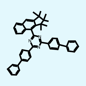 CC1(C)c2cc3ccccc3c(-c3nc(-c4ccc(-c5ccccc5)cc4)nc(-c4ccc(-c5ccccc5)cc4)n3)c2C(C)(C)C1(C)C